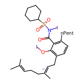 CCCCCc1ccc(C/C=C(\C)CCC=C(C)C)c(OI)c1C(=O)N(I)S(=O)(=O)C1CCCCC1